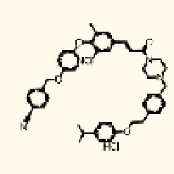 Cc1cc(C=CC(=O)N2CCN(Cc3ccc(CCOc4ccc(C(C)C)cc4)cc3)CC2)cc(Cl)c1Oc1ccc(OCc2ccc(C#N)cc2)cn1.Cl